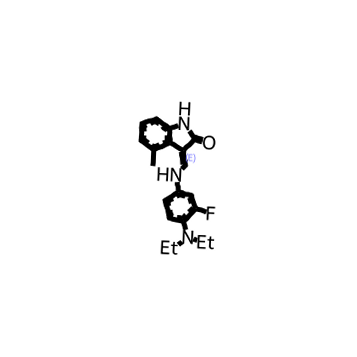 CCN(CC)c1ccc(N/C=C2/C(=O)Nc3cccc(C)c32)cc1F